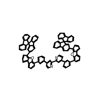 c1cc(-c2ccnc(-c3cc(-c4cccc(-c5cccc6c5oc5c(-c7ccc8c(c7)C7(c9ccccc9-c9ccccc97)c7ccccc7-8)cccc56)c4)ccn3)c2)cc(-c2cccc3c2oc2c(-c4ccc5c(c4)C4(c6ccccc6-c6ccccc64)c4ccccc4-5)cccc23)c1